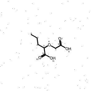 CCCC(OCC(=O)O)C(=O)O